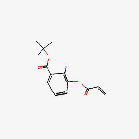 C=CC(=O)Oc1cccc(C(=O)OC(C)(C)C)c1N